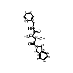 O=C(NCc1ccccn1)[C@H](O)[C@@H](O)C(=O)N1Cc2ccccc2C1